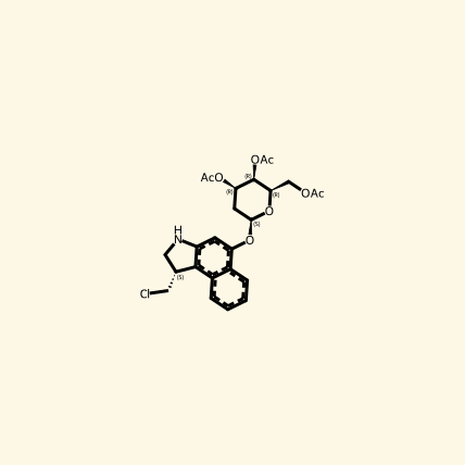 CC(=O)OC[C@H]1O[C@@H](Oc2cc3c(c4ccccc24)[C@H](CCl)CN3)C[C@@H](OC(C)=O)[C@H]1OC(C)=O